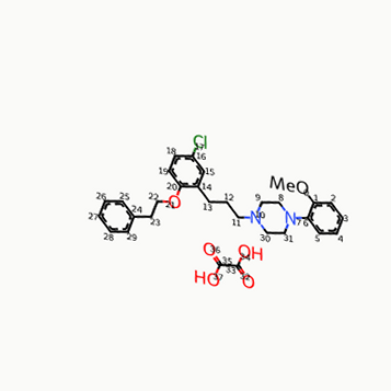 COc1ccccc1N1CCN(CCCc2cc(Cl)ccc2OCCc2ccccc2)CC1.O=C(O)C(=O)O